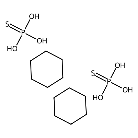 C1CCCCC1.C1CCCCC1.OP(O)(O)=S.OP(O)(O)=S